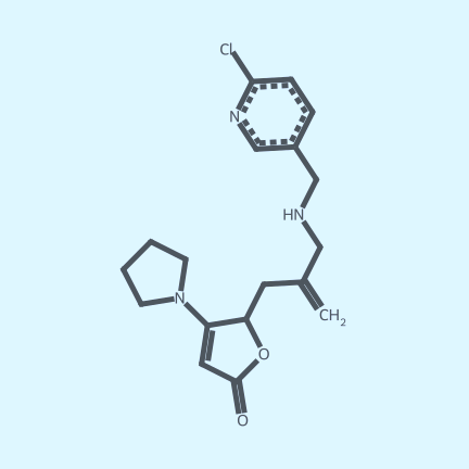 C=C(CNCc1ccc(Cl)nc1)CC1OC(=O)C=C1N1CCCC1